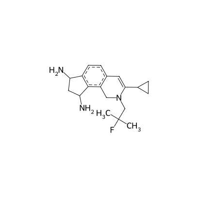 CC(C)(F)CN1Cc2c(ccc3c2C(N)CC3N)C=C1C1CC1